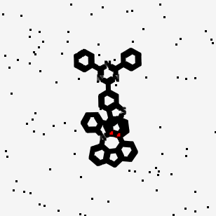 c1ccc(-c2nc(-c3ccccc3)nc(-c3ccc4c(c3)sc3cc(-c5cccc6c5-c5c(cccc5-n5c7ccccc7c7ccccc75)C6)ccc34)n2)cc1